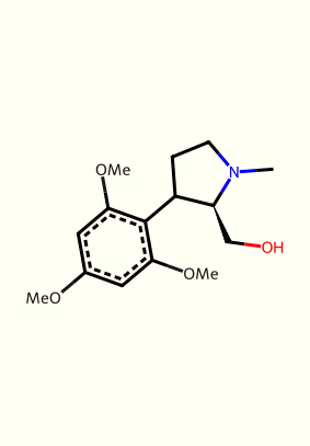 COc1cc(OC)c(C2CCN(C)[C@H]2CO)c(OC)c1